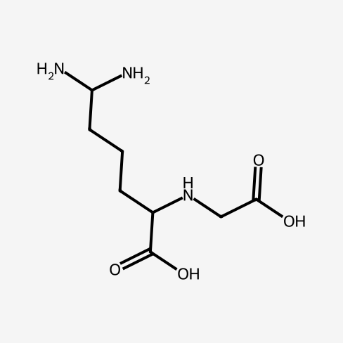 NC(N)CCCC(NCC(=O)O)C(=O)O